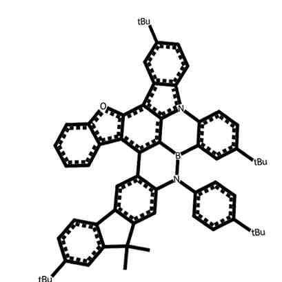 CC(C)(C)c1ccc(N2B3c4cc(C(C)(C)C)ccc4-n4c5ccc(C(C)(C)C)cc5c5c6oc7ccccc7c6c(c3c54)-c3cc4c(cc32)C(C)(C)c2cc(C(C)(C)C)ccc2-4)cc1